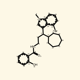 Cn1cc(C(CCNC(=O)c2ccccc2O)C2CCCCCC2)c2c(Br)cccc21